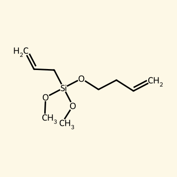 C=CCCO[Si](CC=C)(OC)OC